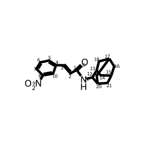 O=C(C=Cc1cccc([N+](=O)[O-])c1)NC1C2CC3CC(C2)CC1C3